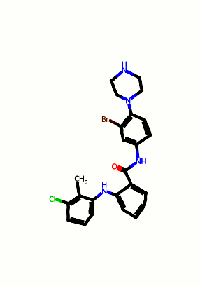 Cc1c(Cl)cccc1Nc1ccccc1C(=O)Nc1ccc(N2CCNCC2)c(Br)c1